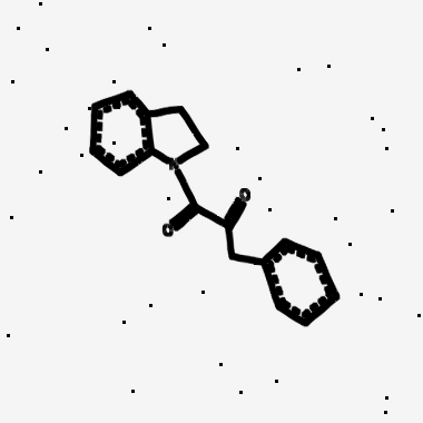 O=C(Cc1ccccc1)C(=O)N1CCc2ccccc21